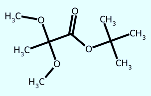 COC(C)(OC)C(=O)OC(C)(C)C